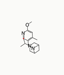 COc1cc(C)c(CN2C3CC2CN(C(C)C)C3)cn1